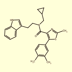 Cc1nc(C(=O)N(CCc2c[nH]c3ccccc23)CC2CC2)c(-c2ccc(C)c(C)c2)s1